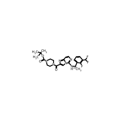 C[C@@H](Nc1nccc2nc(C(=O)N3CCN(C(=O)OC(C)(C)C)CC3)cn12)c1cccc(C(F)F)c1F